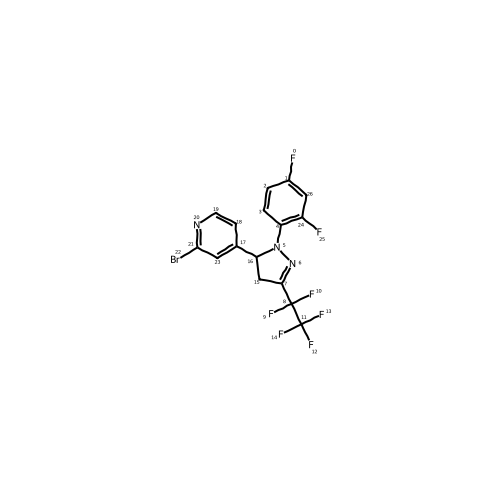 Fc1ccc(N2N=C(C(F)(F)C(F)(F)F)CC2c2ccnc(Br)c2)c(F)c1